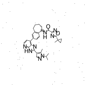 Cc1c(-c2nc3c(-c4ccc5c(c4)CCCC[C@H]5NC(=O)c4noc(C5(C)CC5)n4)ccnc3[nH]2)cnn1C(C)C